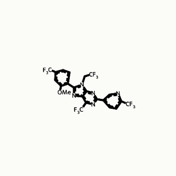 COc1cc(C(F)(F)F)ccc1-c1nc2c(C(F)(F)F)nc(-c3ccc(C(F)(F)F)nc3)nc2n1CC(F)(F)F